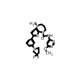 COc1cc(NC(=O)N2CCCN(C)c3ccc(-c4cccc(N5CCC(F)(F)C5)c4)nc32)ncn1